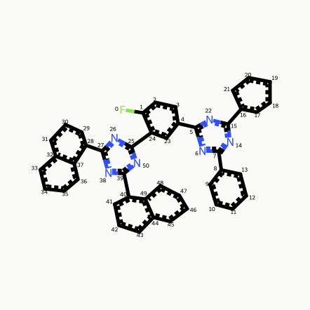 Fc1ccc(-c2nc(-c3ccccc3)nc(-c3ccccc3)n2)cc1-c1nc(-c2cccc3ccccc23)nc(-c2cccc3ccccc23)n1